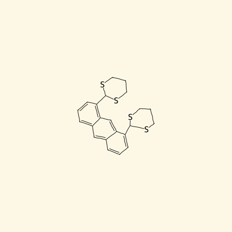 c1cc(C2SCCCS2)c2cc3c(C4SCCCS4)cccc3cc2c1